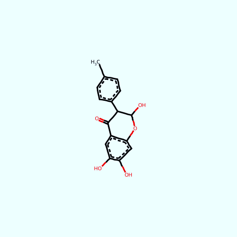 Cc1ccc(C2C(=O)c3cc(O)c(O)cc3OC2O)cc1